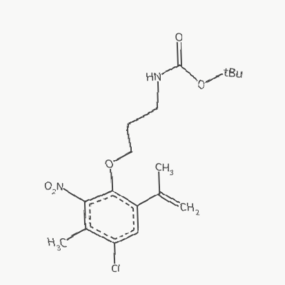 C=C(C)c1cc(Cl)c(C)c([N+](=O)[O-])c1OCCCNC(=O)OC(C)(C)C